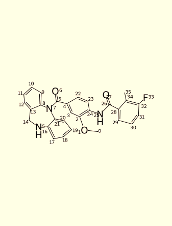 COc1cc(C(=O)N2c3ccccc3CNc3ccccc32)ccc1NC(=O)c1cccc(F)c1C